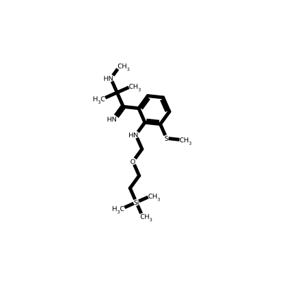 CNC(C)(C)C(=N)c1cccc(SC)c1NCOCC[Si](C)(C)C